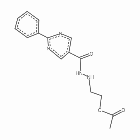 CC(=O)OCCNNC(=O)c1cnc(-c2ccccc2)nc1